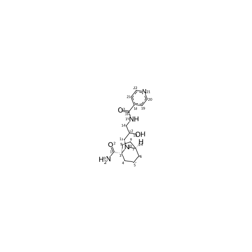 NC(=O)[C@]12C[CH]C[C@H](CC1)N2CC(O)CNC(=O)c1ccncc1